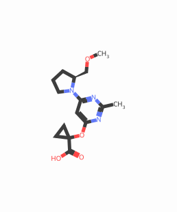 COC[C@@H]1CCCN1c1cc(OC2(C(=O)O)CC2)nc(C)n1